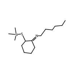 CCCCCCN=C1CCCCC1S[Si](C)(C)C